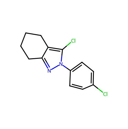 Clc1ccc(-n2nc3c(c2Cl)CCCC3)cc1